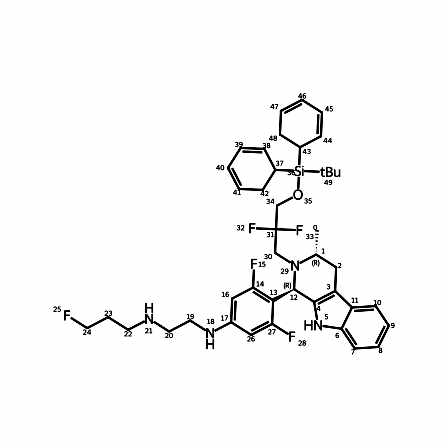 C[C@@H]1Cc2c([nH]c3ccccc23)[C@@H](c2c(F)cc(NCCNCCCF)cc2F)N1CC(F)(F)CO[Si](C1C=CC=CC1)(C1C=CC=CC1)C(C)(C)C